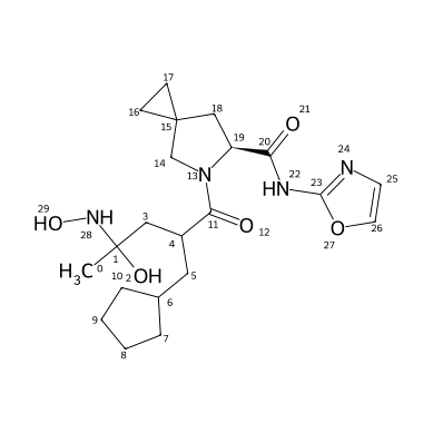 CC(O)(CC(CC1CCCC1)C(=O)N1CC2(CC2)C[C@H]1C(=O)Nc1ncco1)NO